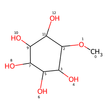 COC1C(O)C(O)C(O)C(O)C1O